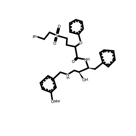 COc1cccc(CNC[C@H](O)[C@H](Cc2ccccc2)NC(=O)C(CCS(=O)(=O)CCC(C)C)Oc2ccccc2)c1